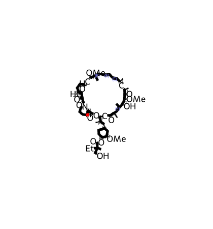 CCC(C)(CO)C(=O)O[C@@H]1CC[C@@H](C[C@@H](C)[C@@H]2CC(=O)[C@H](C)/C=C(\C)[C@@H](O)[C@@H](OC)C(=O)[C@H](C)C[C@H](C)/C=C/C=C/C=C(\C)[C@@H](OC)C[C@@H]3CC[C@@H](C)[C@@](O)(O3)C(=O)C(=O)N3CCCC[C@H]3C(=O)O2)C[C@H]1OC